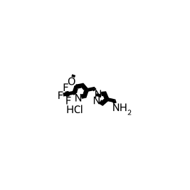 COc1cc(Cn2cc(CN)cn2)cnc1C(F)(F)F.Cl